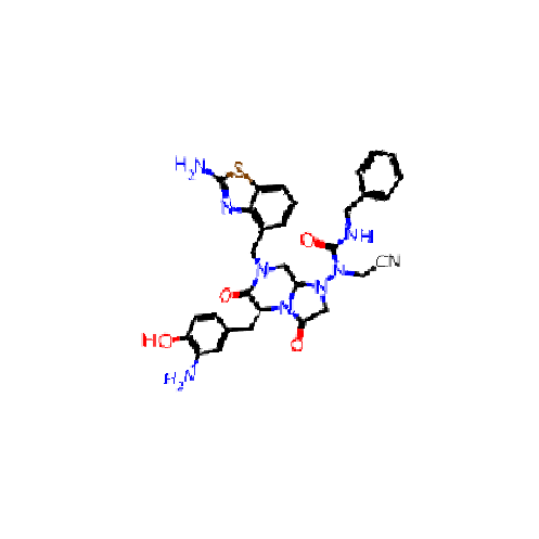 N#CCN(C(=O)NCc1ccccc1)N1CC(=O)N2C1CN(Cc1cccc3sc(N)nc13)C(=O)[C@@H]2Cc1ccc(O)c(N)c1